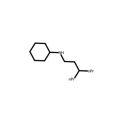 CCCC(CCC)CCNC1CCCCC1